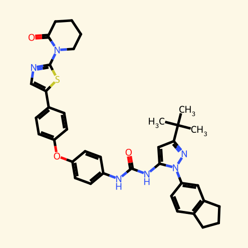 CC(C)(C)c1cc(NC(=O)Nc2ccc(Oc3ccc(-c4cnc(N5CCCCC5=O)s4)cc3)cc2)n(-c2ccc3c(c2)CCC3)n1